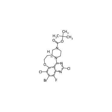 CC(C)(C)OC(=O)N1CCN2c3nc(Cl)nc4c(F)c(Br)c(Cl)c(c34)OCC[C@H]2C1